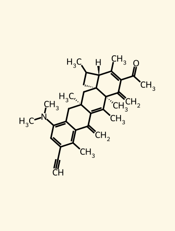 C#Cc1cc(N(C)C)c2c(c1C)C(=C)C1=C(C)[C@]3(C)C(=C)C(C(C)=O)=C(C)[C@H]4C(C)C[C@]43C[C@]1(C)C2